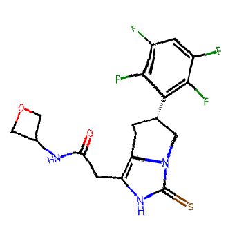 O=C(Cc1[nH]c(=S)n2c1C[C@H](c1c(F)c(F)cc(F)c1F)C2)NC1COC1